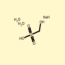 O.O.O=S(=O)(O)CO.[NaH]